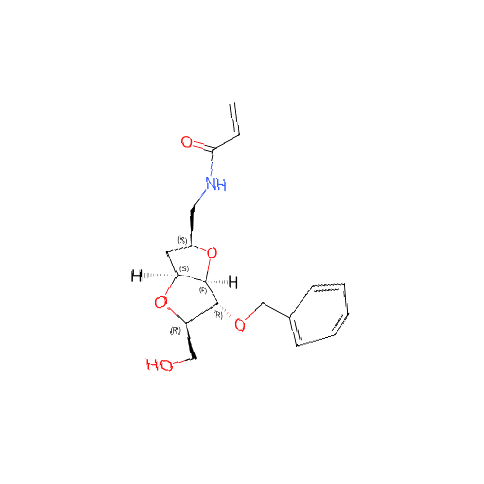 C=CC(=O)NC[C@@H]1C[C@@H]2O[C@H](CO)[C@@H](OCc3ccccc3)[C@@H]2O1